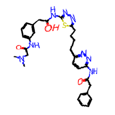 CN(C)CC(=O)Nc1cccc(CC(O)Nc2nnc(CCCCc3ccc(NC(=O)Cc4ccccc4)nn3)s2)c1